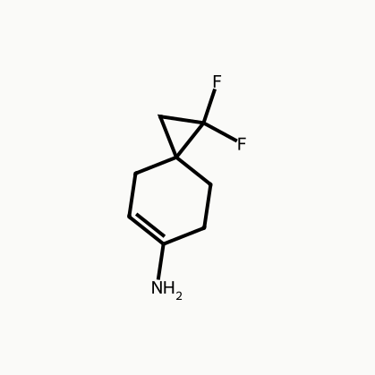 NC1=CCC2(CC1)CC2(F)F